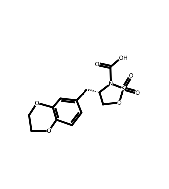 O=C(O)N1[C@@H](Cc2ccc3c(c2)OCCO3)COS1(=O)=O